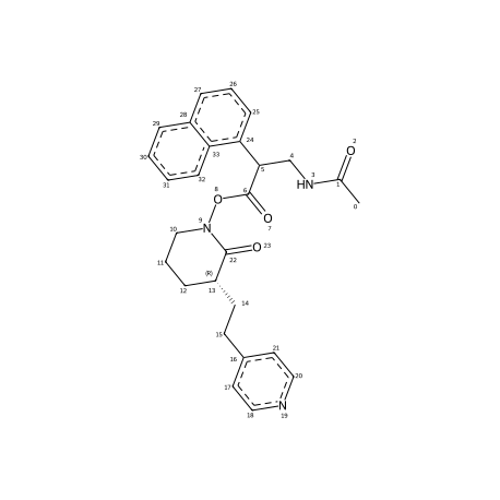 CC(=O)NCC(C(=O)ON1CCC[C@@H](CCc2ccncc2)C1=O)c1cccc2ccccc12